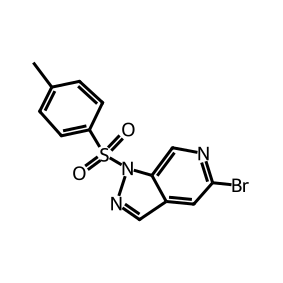 Cc1ccc(S(=O)(=O)n2ncc3cc(Br)ncc32)cc1